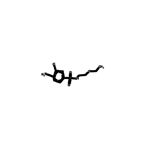 CCOCCNS(=O)(=O)c1ccc(N)c(Cl)c1